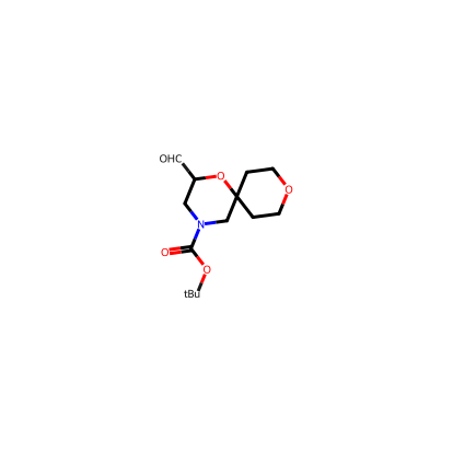 CC(C)(C)OC(=O)N1CC(C=O)OC2(CCOCC2)C1